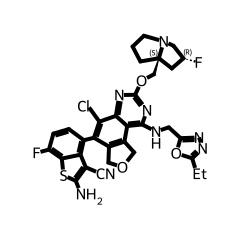 CCc1nnc(CNc2nc(OC[C@@]34CCCN3C[C@H](F)C4)nc3c(Cl)c(-c4ccc(F)c5sc(N)c(C#N)c45)c4c(c23)COC4)o1